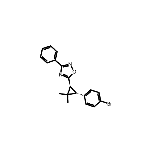 CC1(C)[C@@H](c2ccc(Br)cc2)[C@@H]1c1nc(-c2ccccc2)no1